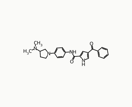 CN(C)C1CCN(c2ccc(NC(=O)c3cc(C(=O)c4ccccc4)c[nH]3)cc2)C1